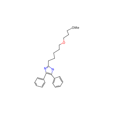 COCCCOCCCCCC1=NC(c2ccccc2)=C(c2ccccc2)[N]1